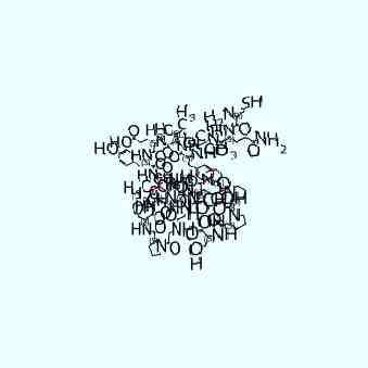 CC[C@H](C)[C@H](NC(=O)[C@H](Cc1ccccc1)NC(=O)C(C)(C)NC(=O)[C@H](CCC(N)=O)NC(=O)[C@@H](N)CS)C(=O)N[C@@H](CCC(=O)O)C(=O)N[C@@H](Cc1ccc(O)cc1)C(=O)N[C@@H](CC(C)C)C(=O)N[C@@H](CC(C)C)C(=O)N[C@@H](CCC(=O)O)C(=O)NCC(=O)NCC(=O)N1CCC[C@H]1C(=O)N[C@@H](CO)C(=O)N[C@@H](CO)C(=O)NCC(=O)N[C@@H](C)C(=O)N1CCC[C@H]1C(=O)N1CCC[C@H]1C(=O)N1CCC[C@H]1C(=O)N[C@@H](CO)C(=O)O